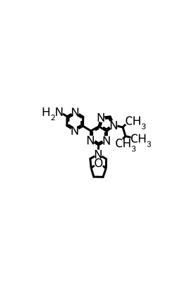 CC(C)C(C)n1cnc2c(-c3cnc(N)cn3)nc(N3CC4CCC(C3)O4)nc21